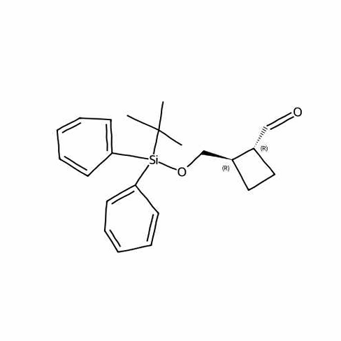 CC(C)(C)[Si](OC[C@@H]1CC[C@H]1C=O)(c1ccccc1)c1ccccc1